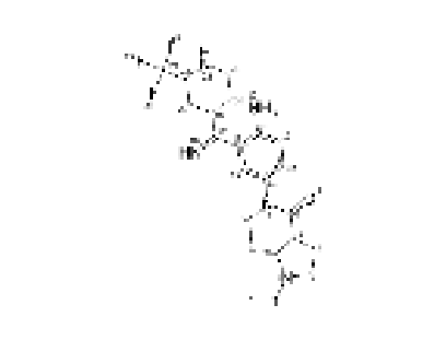 CCN1CCC(C(=O)N(CC)c2ccc(N)c(C(=N)C3CCNC(C(F)(F)F)C3)c2)C1